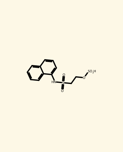 O=S(=O)(CCOS(=O)(=O)O)Nc1cccc2ccccc12